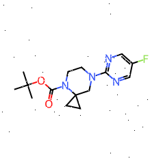 CC(C)(C)OC(=O)N1CCN(c2ncc(F)cn2)CC12CC2